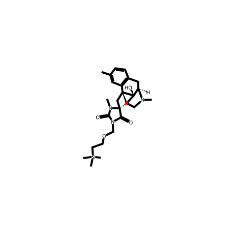 Cc1ccc2c(c1)[C@]13CCN(C)[C@H](C2)[C@]1(O)CC[C@]1(C3)C(=O)N(COCC[Si](C)(C)C)C(=O)N1C